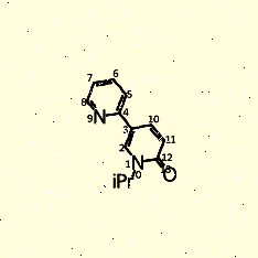 CC(C)n1cc(-c2ccccn2)ccc1=O